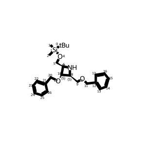 CC(C)(C)[Si](C)(C)OC[C@H]1N[C@@H](COCc2ccccc2)[C@@H]1OCc1ccccc1